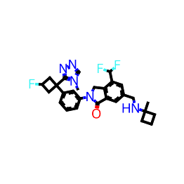 Cn1cnnc1C1(c2cccc(N3Cc4c(cc(CNC5(C)CCC5)cc4C(F)F)C3=O)c2)CC(F)C1